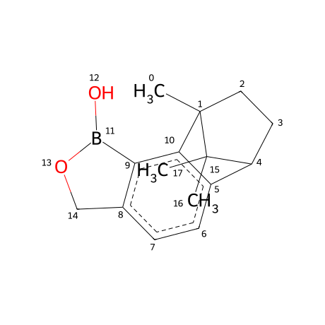 CC12CCC(c3ccc4c(c31)B(O)OC4)C2(C)C